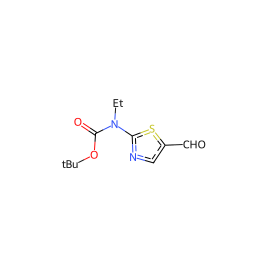 CCN(C(=O)OC(C)(C)C)c1ncc(C=O)s1